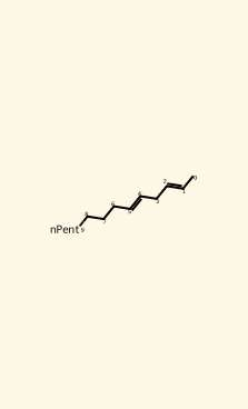 CC=CCC=CCCCCCCCC